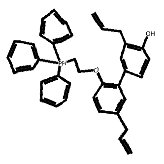 C=CCc1ccc(OCC[PH](c2ccccc2)(c2ccccc2)c2ccccc2)c(-c2ccc(O)c(CC=C)c2)c1